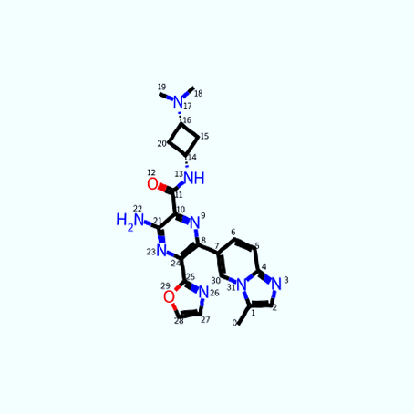 Cc1cnc2ccc(-c3nc(C(=O)N[C@H]4C[C@@H](N(C)C)C4)c(N)nc3-c3ncco3)cn12